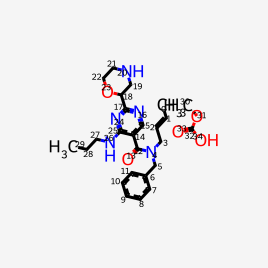 C/C=C/CN(Cc1ccccc1)C(=O)c1cnc(C2CNCCO2)nc1NCCC.COC(=O)O